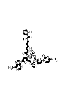 Nc1ccn([C@H]2C[C@H](OP(=O)(O)OCC3OC(n4cnc5c(N)ncnc54)C[C@@H]3OC(=O)[C@@H](N)CCCCNC(=O)[C@@H]3CSCN3)[C@@H](COP(=O)(O)O)O2)c(=O)n1